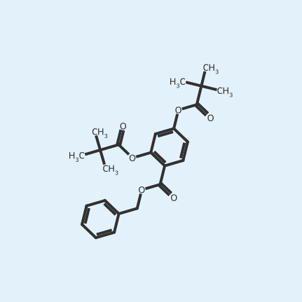 CC(C)(C)C(=O)Oc1ccc(C(=O)OCc2ccccc2)c(OC(=O)C(C)(C)C)c1